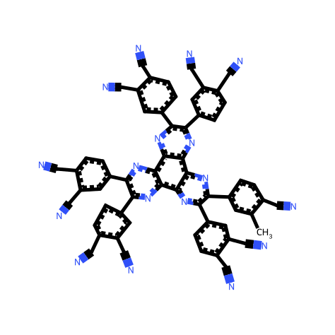 Cc1cc(-c2nc3c(nc2-c2ccc(C#N)c(C#N)c2)c2nc(-c4ccc(C#N)c(C#N)c4)c(-c4ccc(C#N)c(C#N)c4)nc2c2nc(-c4ccc(C#N)c(C#N)c4)c(-c4ccc(C#N)c(C#N)c4)nc32)ccc1C#N